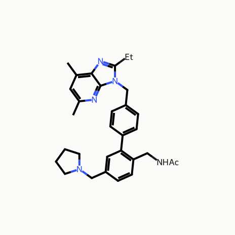 CCc1nc2c(C)cc(C)nc2n1Cc1ccc(-c2cc(CN3CCCC3)ccc2CNC(C)=O)cc1